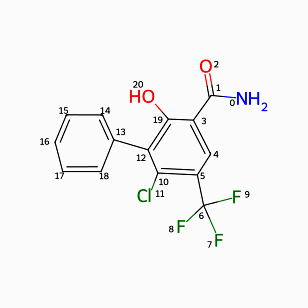 NC(=O)c1cc(C(F)(F)F)c(Cl)c(-c2ccccc2)c1O